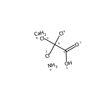 N.O=C(O)C(Cl)(Cl)Cl.[CaH2]